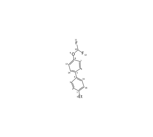 CCc1ccc(-c2ccc(OC(F)F)cc2)cc1